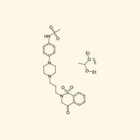 C=C.CCOC(C)OCC.CS(=O)(=O)Nc1ccc(N2CCN(CCCN3CC(=O)c4ccccc4S3(=O)=O)CC2)cc1